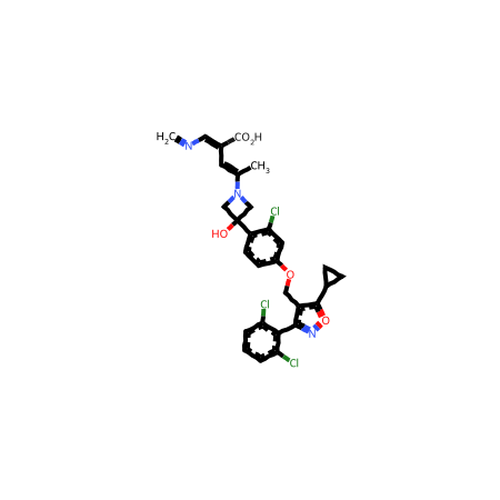 C=N/C=C(\C=C(/C)N1CC(O)(c2ccc(OCc3c(-c4c(Cl)cccc4Cl)noc3C3CC3)cc2Cl)C1)C(=O)O